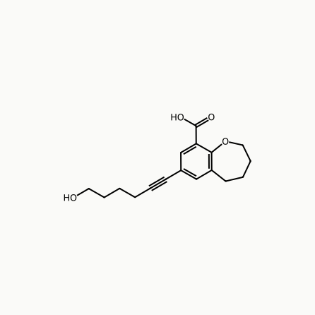 O=C(O)c1cc(C#CCCCCO)cc2c1OCCCC2